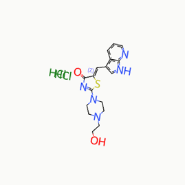 Cl.Cl.O=C1N=C(N2CCN(CCO)CC2)S/C1=C\c1c[nH]c2ncccc12